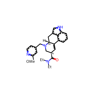 CCN(CC)C(=O)[C@@H]1C=C2c3cccc4[nH]cc(c34)C[C@H]2N(Cc2ccnc(OC)c2)C1